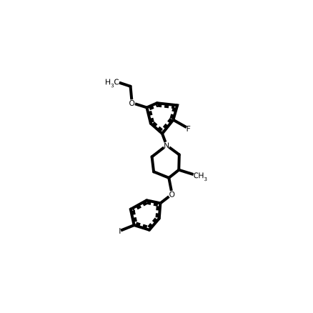 CCOc1ccc(F)c(N2CCC(Oc3ccc(I)cc3)C(C)C2)c1